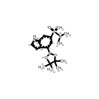 C=S(=O)(c1cc(B2OC(C)(C)C(C)(C)O2)c2cc[nH]c2c1)N(C)C